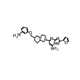 Nc1cccc(OCC2CCC3CN(c4cc(N)n5nc(-c6ccco6)nc5n4)CCN3C2)c1